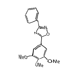 COc1cc(-c2nc(-c3cc[c]cc3)no2)cc(OC)c1OC